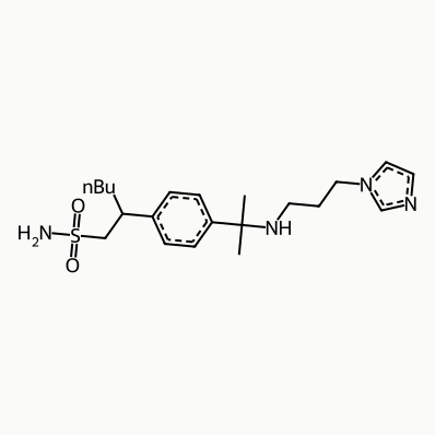 CCCCC(CS(N)(=O)=O)c1ccc(C(C)(C)NCCCn2ccnc2)cc1